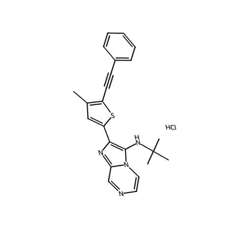 Cc1cc(-c2nc3cnccn3c2NC(C)(C)C)sc1C#Cc1ccccc1.Cl